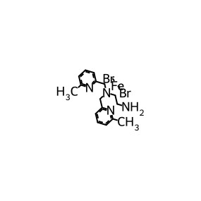 Cc1cccc(CN(CCN)Cc2cccc(C)n2)n1.[Br][Fe][Br]